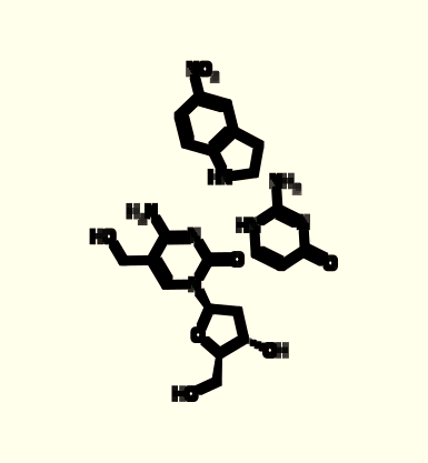 Nc1nc(=O)cc[nH]1.Nc1nc(=O)n([C@H]2C[C@H](O)[C@@H](CO)O2)cc1CO.O=[N+]([O-])c1ccc2c(c1)CCN2